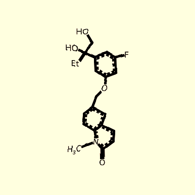 CCC(O)(CO)c1cc(F)cc(OCc2ccc3c(ccc(=O)n3C)c2)c1